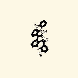 COc1ccccc1Sc1ccccc1C(C(=O)O)c1cccc2c1CC(=O)c1cccc(OC)c1S2